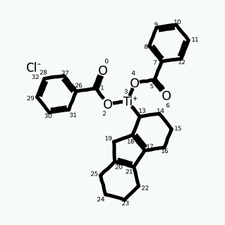 O=C([O][Ti+]([O]C(=O)c1ccccc1)[CH]1CCCC2=C1CC1=C2CCCC1)c1ccccc1.[Cl-]